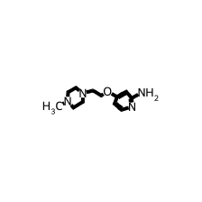 CN1CCN(CCOc2ccnc(N)c2)CC1